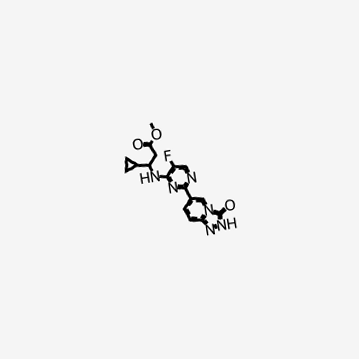 COC(=O)CC(Nc1nc(-c2ccc3n[nH]c(=O)n3c2)ncc1F)C1CC1